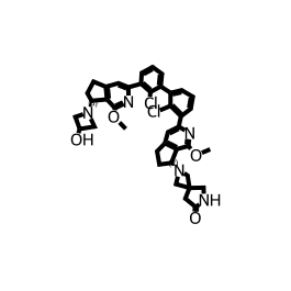 COc1nc(-c2cccc(-c3cccc(-c4cc5c(c(OC)n4)[C@@H](N4CC(O)C4)CC5)c3Cl)c2Cl)cc2c1[C@H](N1CC3(CNC(=O)C3)C1)CC2